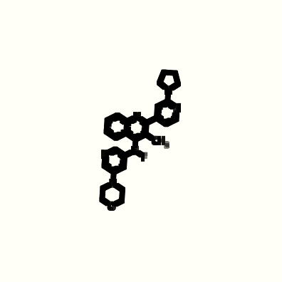 Cc1c(-c2ccnc(N3CCCC3)c2)nc2ccccc2c1N(F)c1cncc(N2CCOCC2)c1